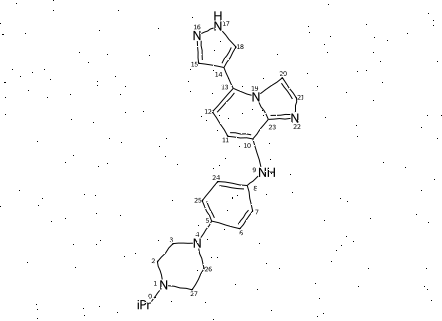 CC(C)N1CCN(c2ccc(Nc3ccc(-c4cn[nH]c4)n4ccnc34)cc2)CC1